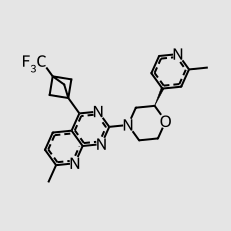 Cc1cc([C@@H]2CN(c3nc(C45CC(C(F)(F)F)(C4)C5)c4ccc(C)nc4n3)CCO2)ccn1